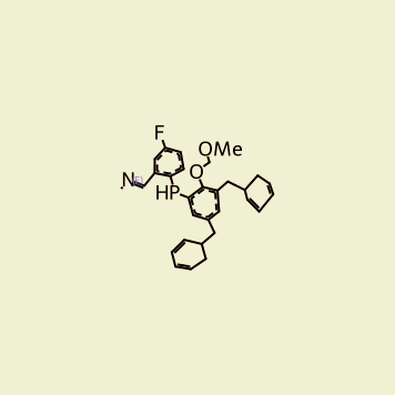 C/N=C/c1cc(F)ccc1Pc1cc(CC2C=CC=CC2)cc(CC2C=CC=CC2)c1OCOC